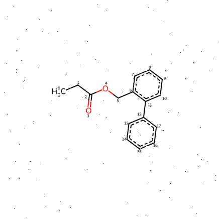 CCC(=O)OCc1ccccc1-c1ccccc1